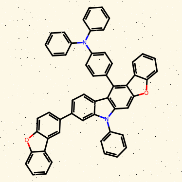 c1ccc(N(c2ccccc2)c2ccc(-c3c4c(cc5c3c3ccc(-c6ccc7oc8ccccc8c7c6)cc3n5-c3ccccc3)oc3ccccc34)cc2)cc1